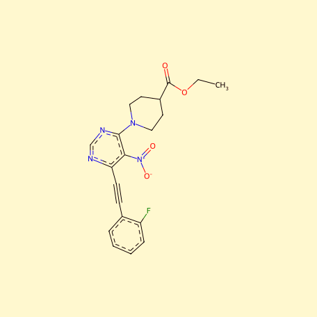 CCOC(=O)C1CCN(c2ncnc(C#Cc3ccccc3F)c2[N+](=O)[O-])CC1